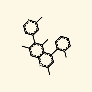 Cc1cc(-c2c(C)cc3nc(C)cc(-c4ccccc4F)c3c2C)ccn1